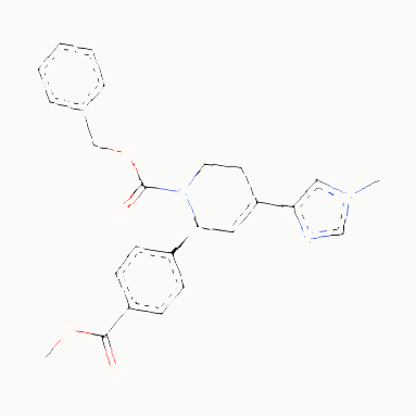 COC(=O)c1ccc([C@@H]2C=C(c3cn(C)cn3)CCN2C(=O)OCc2ccccc2)cc1